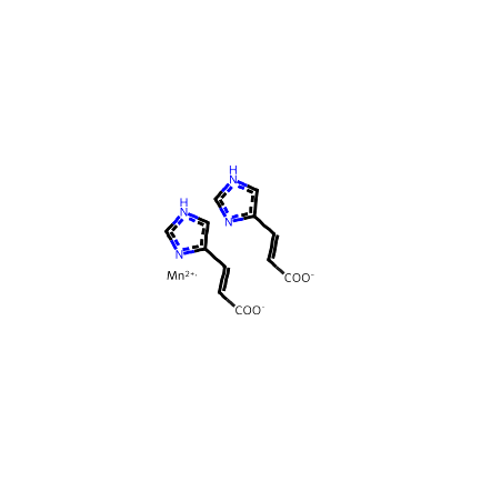 O=C([O-])C=Cc1c[nH]cn1.O=C([O-])C=Cc1c[nH]cn1.[Mn+2]